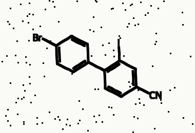 N#Cc1ccc(-c2ccc(Br)cc2)c(I)c1